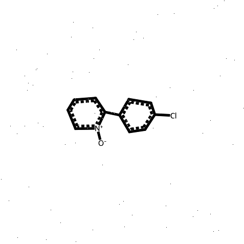 [O-][n+]1ccccc1-c1ccc(Cl)cc1